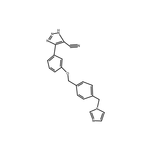 N#Cc1[nH]nnc1-c1cccc(OCc2ccc(Cn3ccnc3)cc2)c1